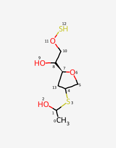 CC(O)SC1CO[C@H](C(O)COS)C1